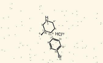 C[C@H]1CNCC[C@@H]1c1ccc(Br)cc1.Cl